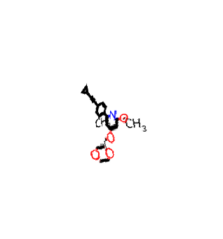 COc1cc(OC[C@H]2COCCO2)cc(-c2ccc(C#CC3CC3)cc2C)n1